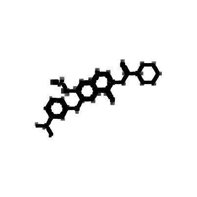 CN(C)c1cccc(Oc2cc3c(=O)n(CC(=O)N4CCCCC4)cnc3cc2NC(=O)O)c1